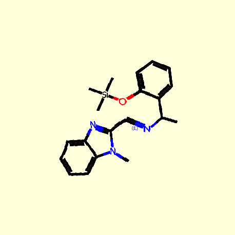 CC(/N=C/c1nc2ccccc2n1C)c1ccccc1O[Si](C)(C)C